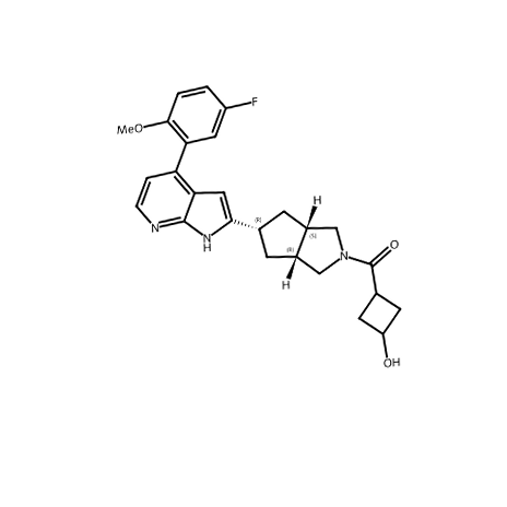 COc1ccc(F)cc1-c1ccnc2[nH]c([C@@H]3C[C@@H]4CN(C(=O)C5CC(O)C5)C[C@@H]4C3)cc12